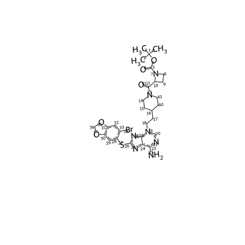 CC(C)(C)OC(=O)N1CCC1C(=O)N1CCC(CCn2cnc(N)c3nc(Sc4cc5c(cc4Br)OCO5)nc2-3)CC1